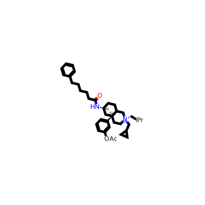 CC(=O)Oc1cccc([C@]23CC[N@+](CC(C)C)(CC4CC4)CC2CC[C@@H](NC(=O)CCCCCc2ccccc2)C3)c1